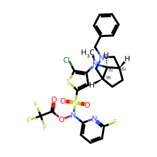 CN(c1cc(S(=O)(=O)N(OC(=O)C(F)(F)F)c2cccc(F)n2)sc1Cl)[C@@H]1[C@@H]2CC[C@H]1CN(Cc1ccccc1)C2